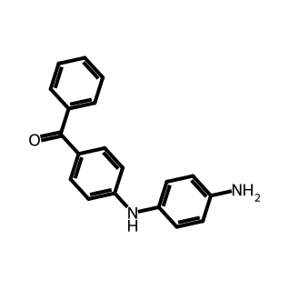 Nc1ccc(Nc2ccc(C(=O)c3ccccc3)cc2)cc1